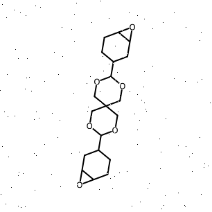 C1CC2OC2CC1C1OCC2(CO1)COC(C1CCC3OC3C1)OC2